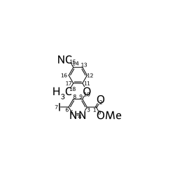 COC(=O)c1nnc(I)cc1Oc1ccc(C#N)cc1C